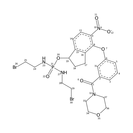 O=C(c1cccc(Oc2c([N+](=O)[O-])ccc3c2CCC3OP(=O)(NCCBr)NCCBr)c1)N1CCOCC1